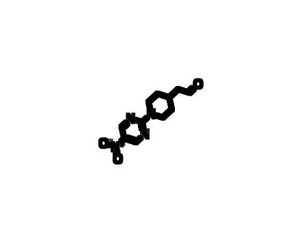 O=CCC1CCN(c2ncc([N+](=O)[O-])cn2)CC1